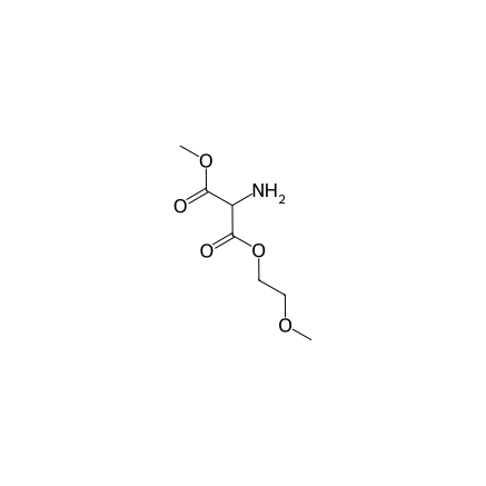 COCCOC(=O)C(N)C(=O)OC